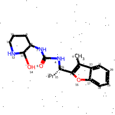 Cc1c([C@@H](NC(=O)NC2CCCNC2O)C(C)C)oc2ccccc12